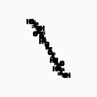 O=C(CNCCOCCOCCNCC(=O)NCCS)NCCS